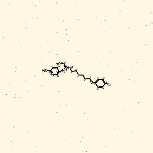 N#CN=C(NCCCCCCOc1ccc(Cl)cc1)Nc1ccc(C#N)nc1